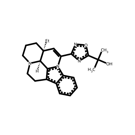 CC[C@@]12C=C(c3noc(C(C)(C)O)n3)n3c4c(c5ccccc53)CCN(CCC1)[C@H]42